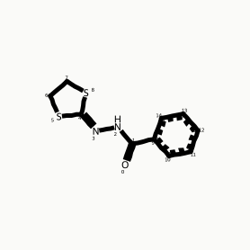 O=C(NN=C1SCCS1)c1ccccc1